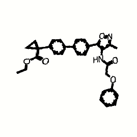 CCOC(=O)C1(c2ccc(-c3ccc(-c4onc(C)c4NC(=O)COc4ccccc4)cc3)cc2)CC1